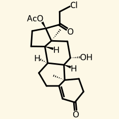 CC(=O)O[C@]1(C(=O)CCl)CC[C@H]2[C@@H]3CCC4=CC(=O)CC[C@]4(C)[C@H]3[C@@H](O)C[C@@]21C